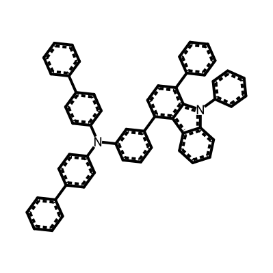 c1ccc(-c2ccc(N(c3ccc(-c4ccccc4)cc3)c3cccc(-c4ccc(-c5ccccc5)c5c4c4ccccc4n5-c4ccccc4)c3)cc2)cc1